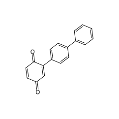 O=C1C=CC(=O)C(c2ccc(-c3ccccc3)cc2)=C1